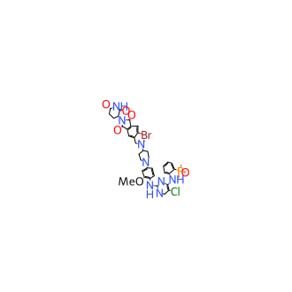 COc1cc(N2CCC(N(C)Cc3cc4c(cc3Br)C(=O)N(C3CCC(=O)NC3=O)C4=O)CC2)ccc1Nc1ncc(Cl)c(Nc2ccccc2P(C)(C)=O)n1